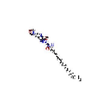 CCC=CCC=CCC=CCC=CCC=CCC=CCCC(=O)NCCNC(=O)c1ccc(CCN2CCOCC2)nc1